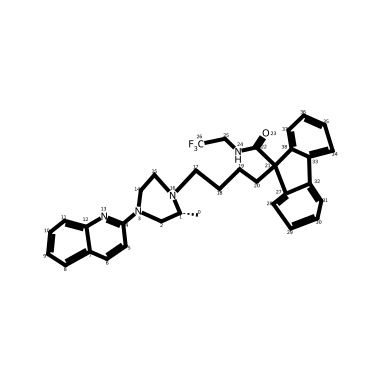 C[C@@H]1CN(c2ccc3ccccc3n2)CCN1CCCCC1(C(=O)NCC(F)(F)F)c2ccccc2-c2ccccc21